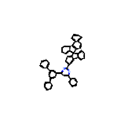 c1ccc(-c2cc(-c3ccccc3)cc(-c3cc(-c4ccccc4)nc(-c4ccc5c(c4)-c4ccccc4C54c5ccccc5-c5c4ccc4ccccc54)n3)c2)cc1